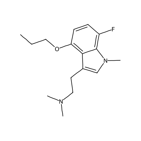 CCCOc1ccc(F)c2c1c(CCN(C)C)cn2C